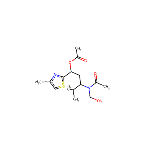 CC(=O)OC(CC(C(C)C)N(CO)C(C)=O)c1nc(C)cs1